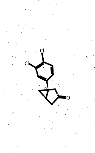 O=C1CC2C[C@]2(c2ccc(Cl)c(Cl)c2)C1